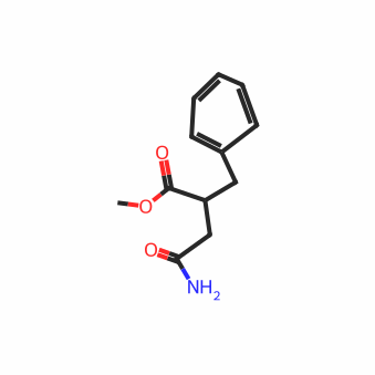 COC(=O)C(CC(N)=O)Cc1ccccc1